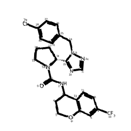 O=C(NC1CCOc2cc(C(F)(F)F)ccc21)N1CCC[C@@H]1c1ncnn1Cc1ccc(Cl)cc1